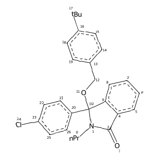 CCCN1C(=O)c2ccccc2C1(OCc1ccc(C(C)(C)C)cc1)c1ccc(Cl)cc1